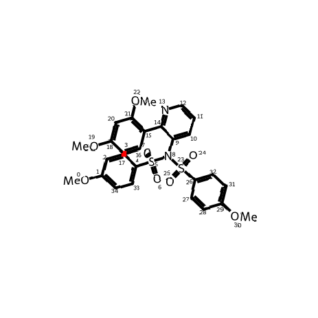 COc1ccc(S(=O)(=O)N(c2cccnc2-c2ccc(OC)cc2OC)S(=O)(=O)c2ccc(OC)cc2)cc1